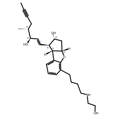 CC#CC[C@@H](C)[C@H](O)/C=C/[C@@H]1[C@H]2c3cccc(CCCCNCCO)c3O[C@H]2C[C@H]1O